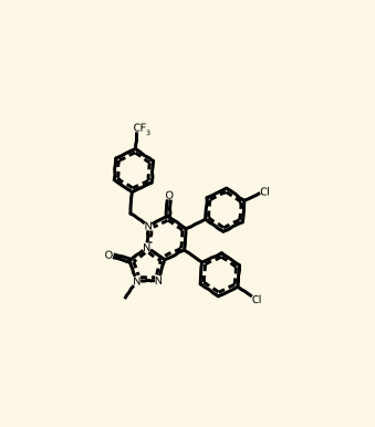 Cn1nc2c(-c3ccc(Cl)cc3)c(-c3ccc(Cl)cc3)c(=O)n(Cc3ccc(C(F)(F)F)cc3)n2c1=O